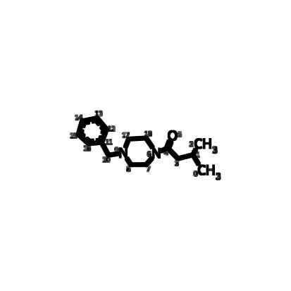 C[C](C)CC(=O)N1CCN(Cc2ccccc2)CC1